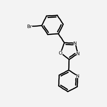 Brc1cccc(-c2nnc(-c3ccccn3)o2)c1